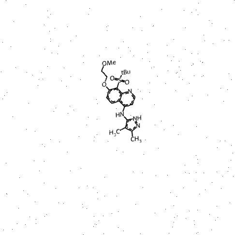 COCCOc1ccc2c(Nc3[nH]nc(C)c3C)ccnc2c1S(=O)(=O)C(C)(C)C